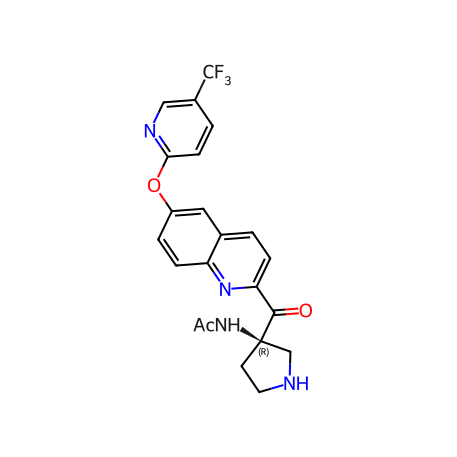 CC(=O)N[C@]1(C(=O)c2ccc3cc(Oc4ccc(C(F)(F)F)cn4)ccc3n2)CCNC1